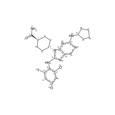 NC(=O)[C@H]1CC[C@H](n2c(Nc3c(F)cc(Cl)cc3Cl)nc3cnc(NC4CCCC4)nc32)CC1